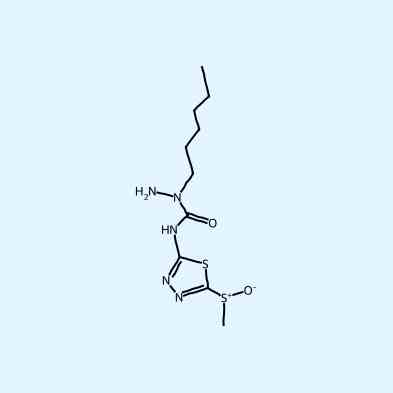 CCCCCCN(N)C(=O)Nc1nnc([S+](C)[O-])s1